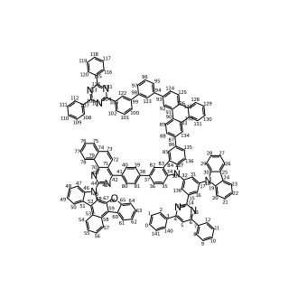 c1ccc(-c2cc(-c3ccccc3)nc(-c3cc(-n4c5ccccc5c5ccccc54)cc(-n4c5ccc(-c6ccc(-c7nc(-n8c9ccccc9c9c%10ccccc%10c%10c%11ccccc%11oc%10c98)nc8c7ccc7ccccc78)cc6)cc5c5cc(-c6ccc7c8cc(-c9cccc(-c%10cccc(-c%11nc(-c%12ccccc%12)nc(-c%12ccccc%12)n%11)c%10)c9)ccc8c8ccccc8c7c6)ccc54)c3)n2)cc1